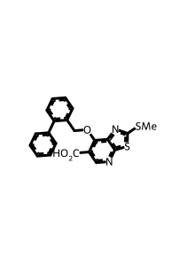 CSc1nc2c(OCc3ccccc3-c3ccccc3)c(C(=O)O)cnc2s1